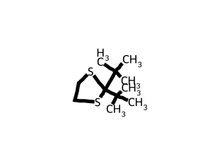 CC(C)(C)C1(C(C)(C)C)SCCS1